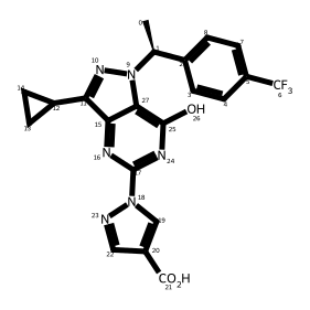 C[C@@H](c1ccc(C(F)(F)F)cc1)n1nc(C2CC2)c2nc(-n3cc(C(=O)O)cn3)nc(O)c21